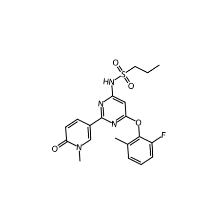 CCCS(=O)(=O)Nc1cc(Oc2c(C)cccc2F)nc(-c2ccc(=O)n(C)c2)n1